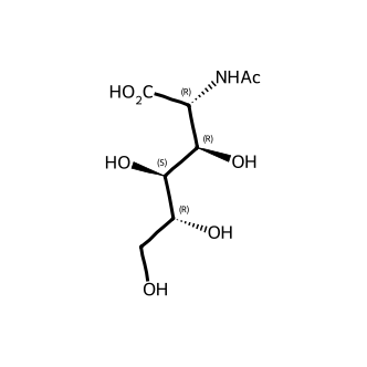 CC(=O)N[C@@H](C(=O)O)[C@@H](O)[C@H](O)[C@H](O)CO